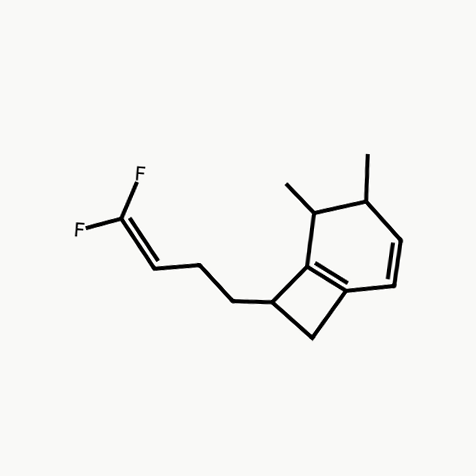 CC1C=CC2=C(C(CCC=C(F)F)C2)C1C